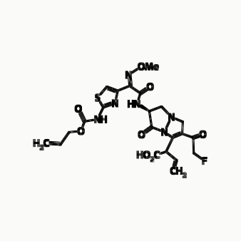 C=CCOC(=O)Nc1nc(/C(=N/OC)C(=O)N[C@H]2CN3CC(C(=O)CF)=C(C(C=C)C(=O)O)N3C2=O)cs1